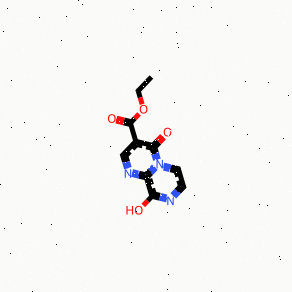 CCOC(=O)c1cnc2c(O)nccn2c1=O